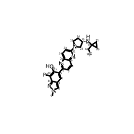 Cn1cc2cc(-c3ccc4nc(N5CC[C@H](NC6(CF)CC6)C5)ccc4n3)c(O)c(F)c2n1